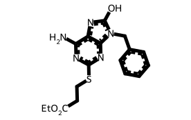 CCOC(=O)CCSc1nc(N)c2nc(O)n(Cc3ccccc3)c2n1